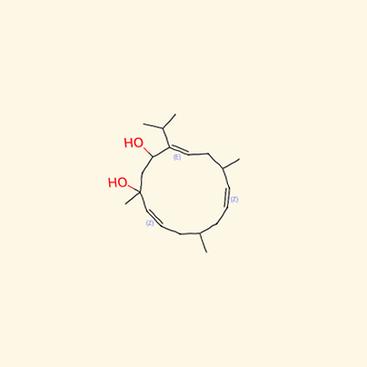 CC1/C=C\CC(C)C/C=C\C(C)(O)CC(O)/C(C(C)C)=C/C1